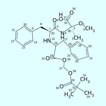 CO[C@@](C)(NC(=O)[C@H](Cc1ccccc1)NC(Cc1ccccc1)C(=O)OCOC(=O)C(C)(C)C)C(=O)O